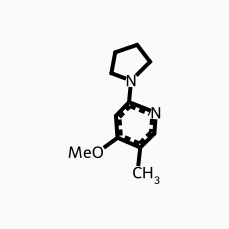 COc1cc(N2CCCC2)ncc1C